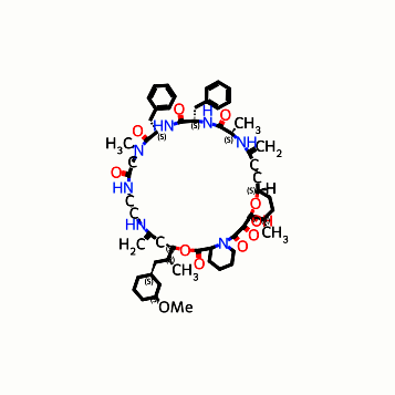 C=C1C[C@@H]([C@H](C)C[C@@H]2CCC[C@H](OC)C2)OC(=O)C2CCCCN2C(=O)C(=O)[C@]2(O)O[C@H](CCC(=C)N[C@@H](C)C(=O)N[C@@H](Cc3ccccc3)C(=O)N[C@@H](Cc3ccccc3)C(=O)N(C)CC(=O)NCCN1)CC[C@H]2C